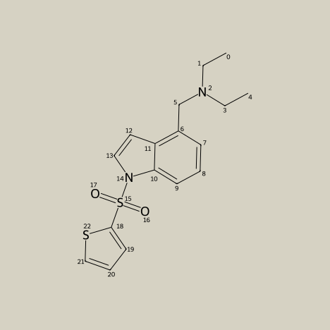 CCN(CC)Cc1cccc2c1ccn2S(=O)(=O)c1cccs1